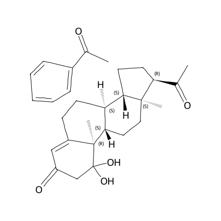 CC(=O)[C@@H]1CC[C@H]2[C@@H]3CCC4=CC(=O)CC(O)(O)[C@]4(C)[C@H]3CC[C@]12C.CC(=O)c1ccccc1